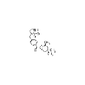 CC1(C)CC2CC(C)(CC2C(=O)c2ccc(CN3CCNS3(=O)=O)cc2)C1